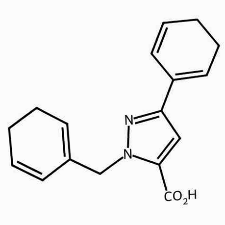 O=C(O)c1cc(C2=CCCC=C2)nn1CC1=CCCC=C1